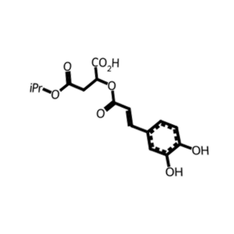 CC(C)OC(=O)CC(OC(=O)/C=C/c1ccc(O)c(O)c1)C(=O)O